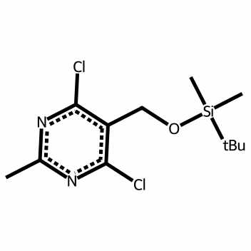 Cc1nc(Cl)c(CO[Si](C)(C)C(C)(C)C)c(Cl)n1